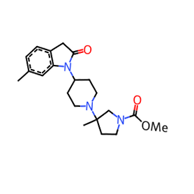 COC(=O)N1CCC(C)(N2CCC(N3C(=O)Cc4ccc(C)cc43)CC2)C1